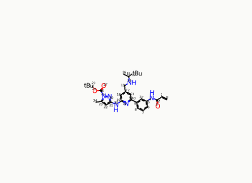 C=CC(=O)Nc1cccc(-c2cc(CNC(C)C(C)(C)C)cc(Nc3cc(C)n(C(=O)OC(C)(C)C)n3)n2)c1